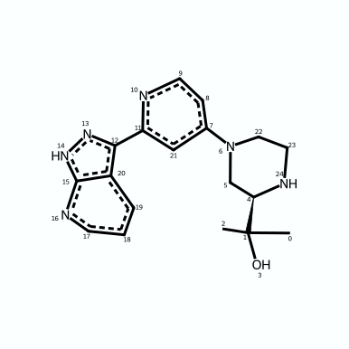 CC(C)(O)[C@H]1CN(c2ccnc(-c3n[nH]c4ncccc34)c2)CCN1